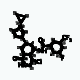 O=C(Nc1cc(-c2cnn(C3CC3)c2)cc2c(=O)[nH]cc(Cl)c12)c1cc(F)cc(C(F)(F)F)c1